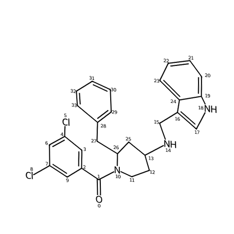 O=C(c1cc(Cl)cc(Cl)c1)N1CCC(NCc2c[nH]c3ccccc23)CC1Cc1ccccc1